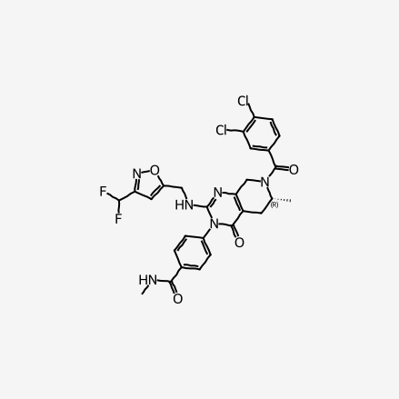 CNC(=O)c1ccc(-n2c(NCc3cc(C(F)F)no3)nc3c(c2=O)C[C@@H](C)N(C(=O)c2ccc(Cl)c(Cl)c2)C3)cc1